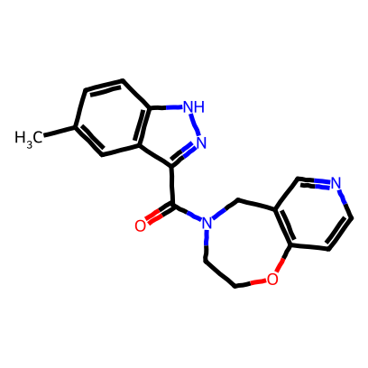 Cc1ccc2[nH]nc(C(=O)N3CCOc4ccncc4C3)c2c1